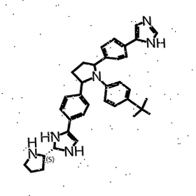 CC(C)(C)c1ccc(N2C(c3ccc(C4=CNC([C@@H]5CCCN5)N4)cc3)CCC2c2ccc(-c3cnc[nH]3)cc2)cc1